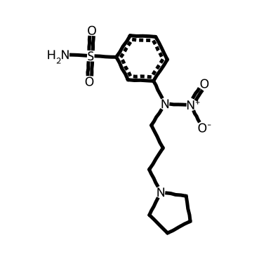 NS(=O)(=O)c1cccc(N(CCCN2CCCC2)[N+](=O)[O-])c1